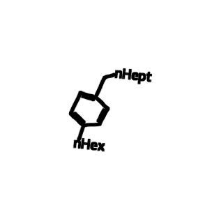 CCCCCCCCc1ccc(CCCCCC)cc1